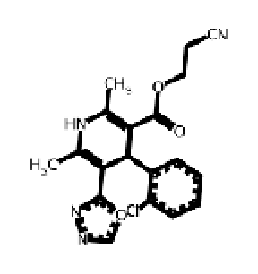 CC1=C(C(=O)OCCC#N)C(c2ccccc2Cl)C(c2nnco2)=C(C)N1